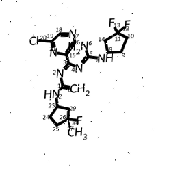 C=C(/N=C(\N=C(/N)NC1CCC(F)(F)C1)c1cncc(Cl)n1)NC1CC[C@@](C)(F)C1